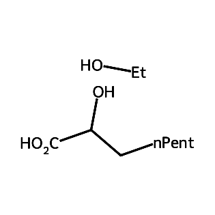 CCCCCCC(O)C(=O)O.CCO